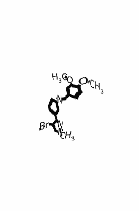 COc1ccc(C[N]c2cccc(-c3nn(C)cc3Br)c2)cc1OC